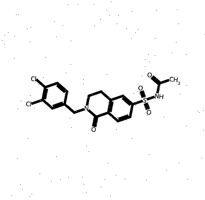 CC(=O)NS(=O)(=O)c1ccc2c(c1)CCN(Cc1ccc(Cl)c(Cl)c1)C2=O